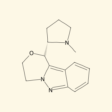 CN1CCC[C@H]1C1OCCn2nc3ccccc3c21